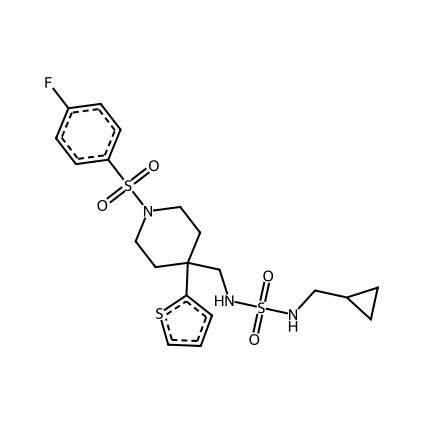 O=S(=O)(NCC1CC1)NCC1(c2cccs2)CCN(S(=O)(=O)c2ccc(F)cc2)CC1